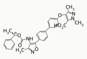 Cc1noc(-c2ccc(-c3ccc(Oc4c(C)nn(C)c4C(=O)O)cc3)cc2)c1NC(=O)O[C@H](C)c1ccccc1